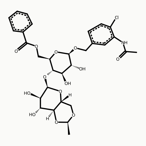 CC(=O)Nc1cc(CO[C@@H]2O[C@H](COC(=O)c3ccccc3)[C@@H](O[C@H]3O[C@@H]4CO[C@@H](C)O[C@H]4[C@H](O)[C@H]3O)[C@H](O)[C@H]2O)ccc1Cl